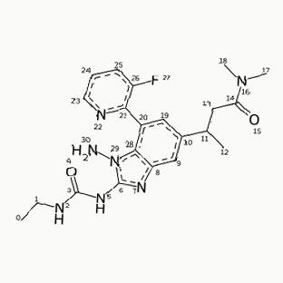 CCNC(=O)Nc1nc2cc(C(C)CC(=O)N(C)C)cc(-c3ncccc3F)c2n1N